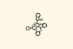 O=C(N[C@H]1C(=O)N(CC(=O)N2CCCC2)c2ccccc2S[C@@H]1c1ccccc1)c1cc2ccccc2[nH]1